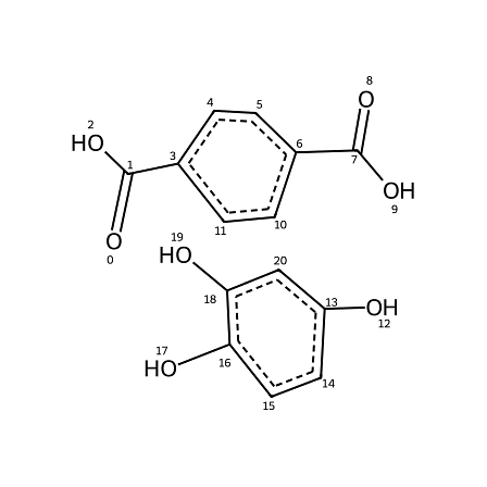 O=C(O)c1ccc(C(=O)O)cc1.Oc1ccc(O)c(O)c1